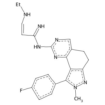 CCN/C=C\C(=N)Nc1ncc2c(n1)-c1c(nn(C)c1-c1ccc(F)cc1)CC2